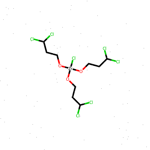 ClC(Cl)CC[O][Zr]([Cl])([O]CCC(Cl)Cl)[O]CCC(Cl)Cl